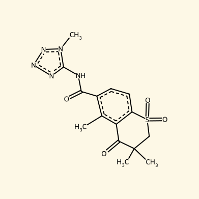 Cc1c(C(=O)Nc2nnnn2C)ccc2c1C(=O)C(C)(C)CS2(=O)=O